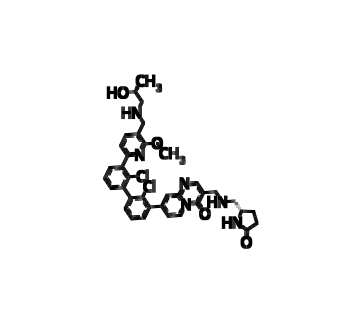 COc1nc(-c2cccc(-c3cccc(-c4ccn5c(=O)c(CNC[C@@H]6CCC(=O)N6)cnc5c4)c3Cl)c2Cl)ccc1CNC[C@H](C)O